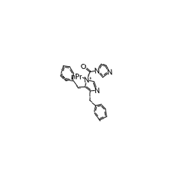 CCC[N+]1(C(=O)n2ccnc2)C=NC(Cc2ccccc2)=C1Cc1ccccc1